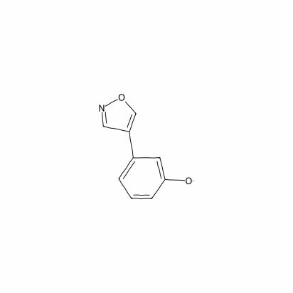 [O]c1cccc(-c2cnoc2)c1